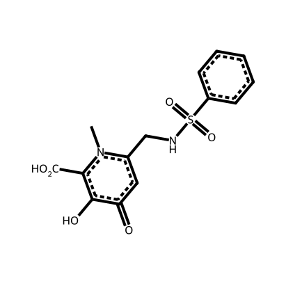 Cn1c(CNS(=O)(=O)c2ccccc2)cc(=O)c(O)c1C(=O)O